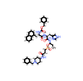 CC(C)CC(NC(=O)[C@H](Cc1c[nH]cn1)NC(=O)[C@H](Cc1cccc2ccccc12)NC(=O)OCc1ccccc1)O/[P+]([O-])=C/CC(=O)NC1CCN(Cc2ccccc2)CC1